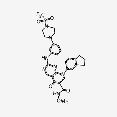 CONC(=O)c1cn(-c2ccc3c(c2)CCC3)c2nc(Nc3cccc(N4CCN(S(=O)(=O)C(F)(F)F)CC4)c3)ncc2c1=O